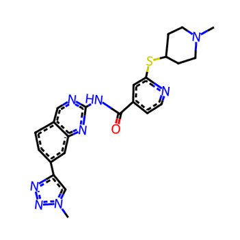 CN1CCC(Sc2cc(C(=O)Nc3ncc4ccc(-c5cn(C)nn5)cc4n3)ccn2)CC1